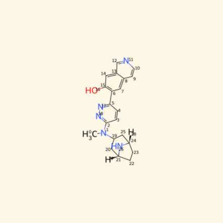 CN(c1ccc(-c2cc3ccncc3cc2O)nn1)C1C[C@H]2CC[C@@H](C1)N2